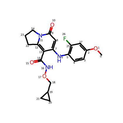 COc1ccc(Nc2cc(=O)n3c(c2C(=O)NOCC2CC2)CCC3)c(F)c1